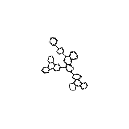 C1=Cc2c(c3ccccc3c3ccc(-c4cc(-c5ccc6c7ccccc7c7ccccc7c6c5)c5cc(-c6ccc(-c7cccnc7)cc6)c6ccccc6c5n4)cc23)CC1